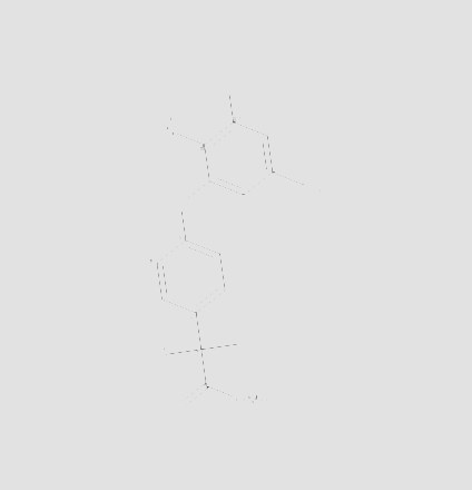 COC(=O)C(C)(C)c1ccc(Oc2cc(F)cc(F)c2[N+](=O)[O-])cc1